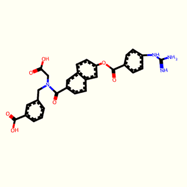 N=C(N)Nc1ccc(C(=O)Oc2ccc3cc(C(=O)N(CC(=O)O)Cc4cccc(C(=O)O)c4)ccc3c2)cc1